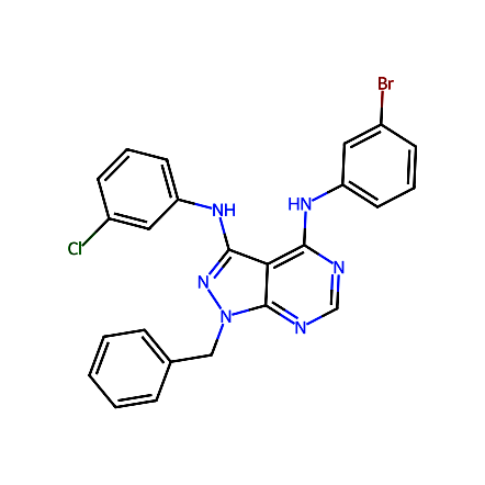 Clc1cccc(Nc2nn(Cc3ccccc3)c3ncnc(Nc4cccc(Br)c4)c23)c1